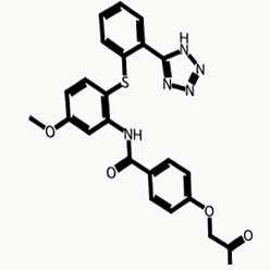 COc1ccc(Sc2ccccc2-c2nnn[nH]2)c(NC(=O)c2ccc(OCC(=O)O)cc2)c1